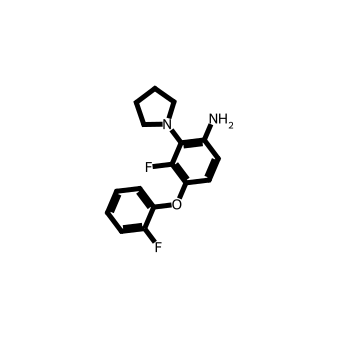 Nc1ccc(Oc2ccccc2F)c(F)c1N1CCCC1